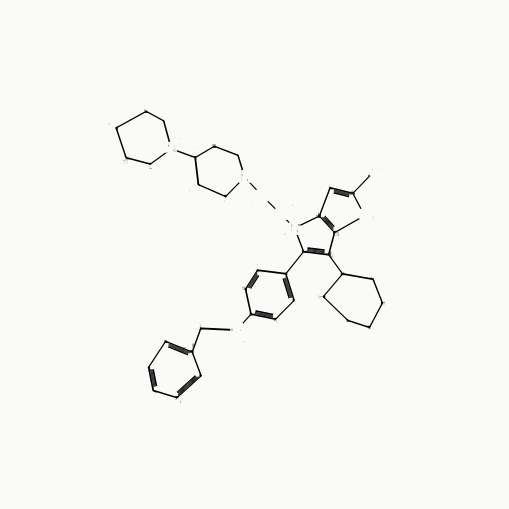 O=C(O)c1cc2c(s1)c(C1CCCCC1)c(-c1ccc(OCc3ccccc3)cc1)n2CCN1CCC(N2CCCCC2)CC1